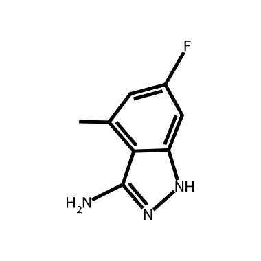 Cc1cc(F)cc2[nH]nc(N)c12